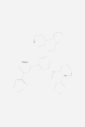 c1cc(-c2cc(-c3cc4ccccc4c4ccccc34)cc(-c3cc4ccccc4c4ccccc34)c2)cc(-c2ccncn2)c1